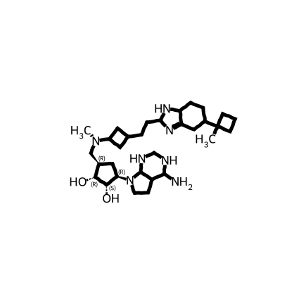 CN(C[C@H]1C[C@@H](N2CCC3C(N)NCNC32)[C@H](O)[C@@H]1O)C1CC(CCC2N=C3CC(C4(C)CCC4)CCC3N2)C1